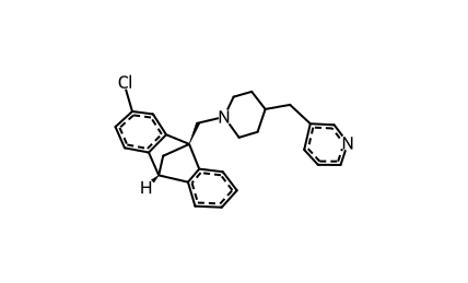 Clc1ccc2c(c1)[C@@]1(CN3CCC(Cc4cccnc4)CC3)C[C@@H]2c2ccccc21